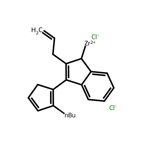 C=CCC1=C(C2=C(CCCC)C=CC2)c2ccccc2[CH]1[Zr+2].[Cl-].[Cl-]